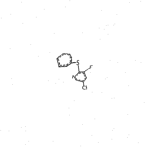 Fc1cc(Cl)cnc1Sc1ccccc1